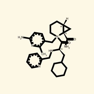 Cc1nc(N)ccc1C[N+]1(C(=O)[C@@H](CC2CCCCC2)NCc2ccccn2)CCC[C@@H]2C[C@@]21C(N)=O